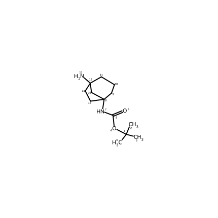 CC(C)(C)OC(=O)NC12CCCC(N)(CC1)C2